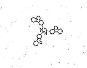 c1ccc2c(c1)oc1cc(-c3cc(-c4ccc5oc6ccccc6c5c4)nc(-c4ccc5c(c4)sc4ccccc45)n3)ccc12